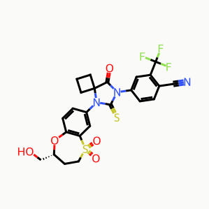 N#Cc1ccc(N2C(=O)C3(CCC3)N(c3ccc4c(c3)S(=O)(=O)CC[C@H](CO)O4)C2=S)cc1C(F)(F)F